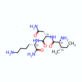 CC[C@H](C)[C@H](N)C(=O)N[C@@H](CC(N)=O)C(=O)N[C@@H](CCCCN)C(N)=O